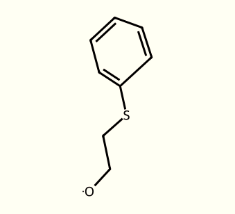 [O]CCSc1ccccc1